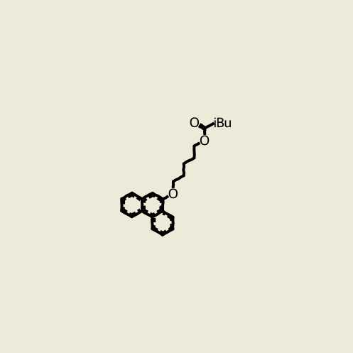 CCC(C)C(=O)OCCCCCOc1cc2ccccc2c2ccccc12